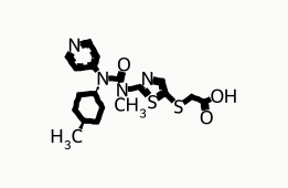 CN(C(=O)N(c1ccncc1)[C@H]1CC[C@H](C)CC1)c1ncc(SCC(=O)O)s1